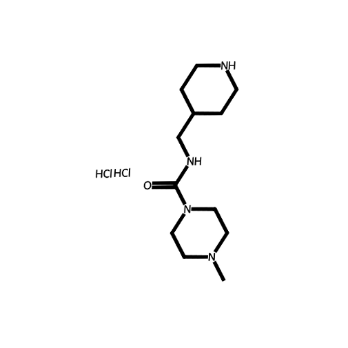 CN1CCN(C(=O)NCC2CCNCC2)CC1.Cl.Cl